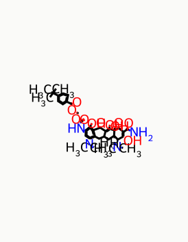 CN(C)c1cc(NC(=O)OCOC(=O)c2ccc(C(C)(C)C)cc2)c(O)c2c1C[C@H]1C[C@H]3[C@H](N(C)C)C(O)=C(C(N)=O)C(=O)C3(O)C(O)=C1C2=O